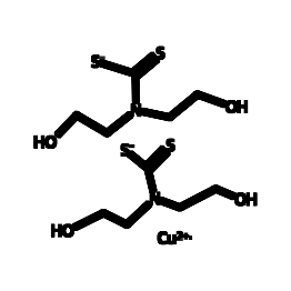 OCCN(CCO)C(=S)[S-].OCCN(CCO)C(=S)[S-].[Cu+2]